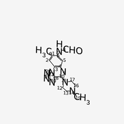 Cc1cc2c(cc1NC=O)nc(N1CCN(C)CC1)c1nnnn12